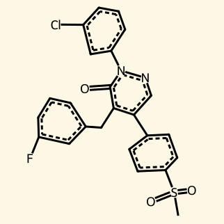 CS(=O)(=O)c1ccc(-c2cnn(-c3cccc(Cl)c3)c(=O)c2Cc2cccc(F)c2)cc1